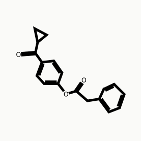 O=C(Cc1ccccc1)Oc1ccc(C(=O)C2CC2)cc1